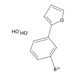 [B+2]c1cccc(-c2ccco2)c1.[OH-].[OH-]